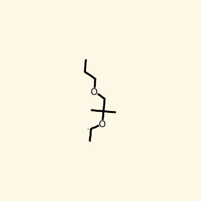 C[CH]OC(C)(C)COCCC